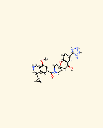 CCOc1cc(C(=O)N2CCC3(CC2)CC(=O)c2cc(-c4nnn[nH]4)ccc2O3)cc2c(C3CC3)cncc12